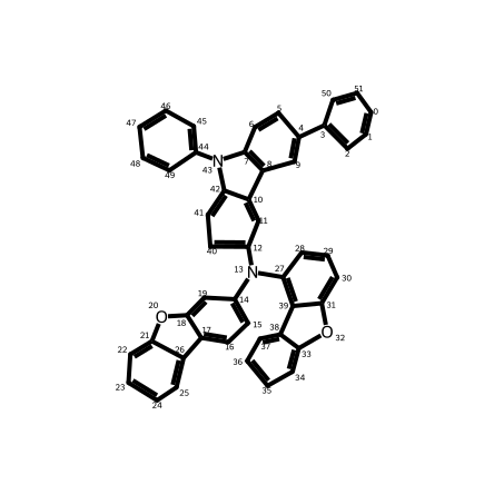 c1ccc(-c2ccc3c(c2)c2cc(N(c4ccc5c(c4)oc4ccccc45)c4cccc5oc6ccccc6c45)ccc2n3-c2ccccc2)cc1